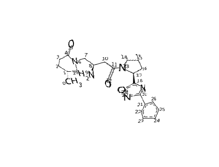 C[C@@H]1CCC(=O)N(C[C@H](N)CC(=O)N2CCC[C@H]2c2nc(-c3ccccc3)no2)C1